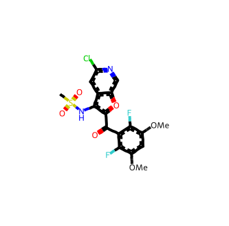 COc1cc(OC)c(F)c(C(=O)c2oc3cnc(Cl)cc3c2NS(C)(=O)=O)c1F